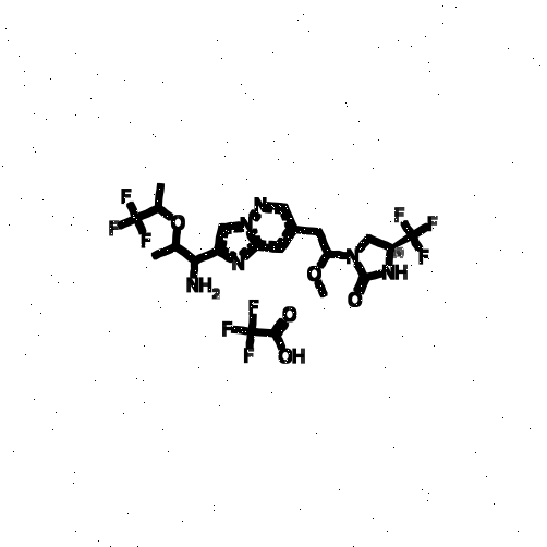 COC(Cc1cnn2cc(C(N)C(C)OC(C)C(F)(F)F)nc2c1)N1C[C@@H](C(F)(F)F)NC1=O.O=C(O)C(F)(F)F